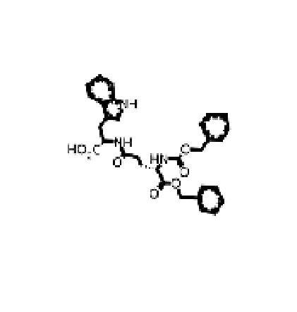 O=C(CC[C@H](NC(=O)OCc1ccccc1)C(=O)OCc1ccccc1)N[C@H](Cc1c[nH]c2ccccc12)C(=O)O